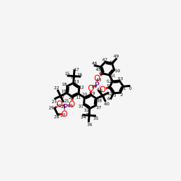 Cc1cc(C)c2op(Oc3c(-c4cc(C(C)(C)C)cc(C(C)(C)C)c4OP4OCCO4)cc(C(C)(C)C)cc3C(C)(C)C)oc3c(C)cc(C)cc3c2c1